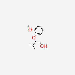 COc1ccccc1OC(CO)C(C)C